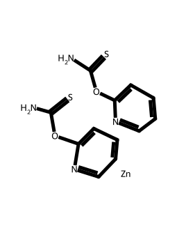 NC(=S)Oc1ccccn1.NC(=S)Oc1ccccn1.[Zn]